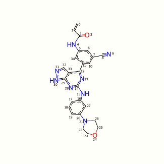 C=CC(=O)Nc1cc(C#N)cc(-c2nc(Nc3cccc(N4CCOCC4)c3)nc3[nH]ncc23)c1